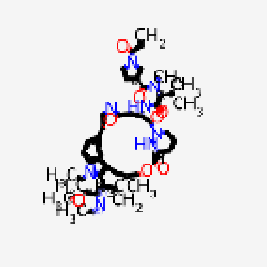 C=CC(=O)N1CC[C@H](C(=O)N(C)[C@H](C(=O)N[C@H]2Cc3ncc(o3)-c3ccc4c(c3)c(c(/C(C=C)=C(/N=C\C)[C@H](C)OC)n4CC)CC(C)(C)COC(=O)[C@@H]3CCCN(N3)C2=O)C(C)C)C1